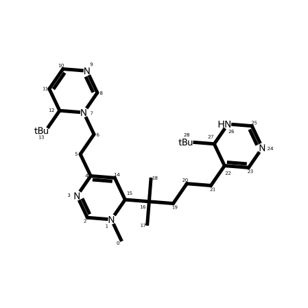 CN1C=NC(CCN2C=NC=CC2C(C)(C)C)=CC1C(C)(C)CCCC1=CN=CNC1C(C)(C)C